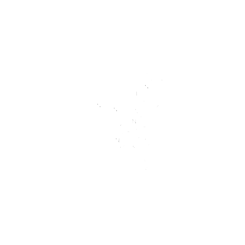 Cc1c(N2CCCC2=O)cccc1S(=O)(=O)N([C@@H](Cc1cc(-c2ccc(Cl)s2)on1)C(=O)N1CCN(C2CC2)CC1)C(F)(F)C(=O)OF